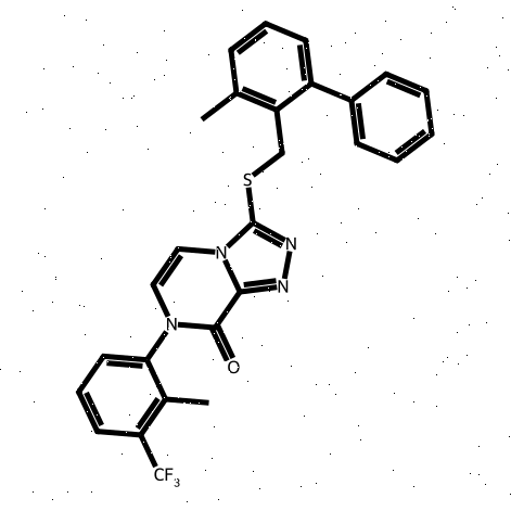 Cc1cccc(-c2ccccc2)c1CSc1nnc2c(=O)n(-c3cccc(C(F)(F)F)c3C)ccn12